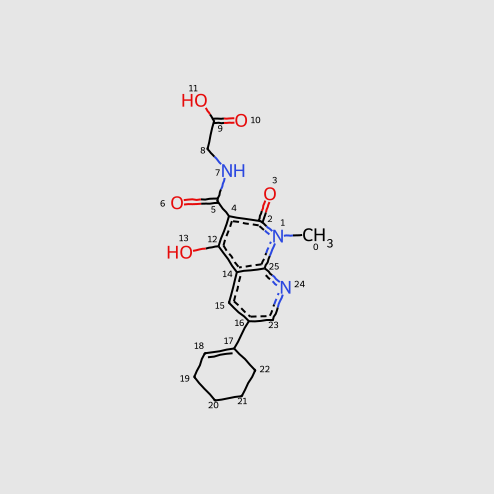 Cn1c(=O)c(C(=O)NCC(=O)O)c(O)c2cc(C3=CCCCC3)cnc21